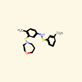 Cc1ccc(NSc2cccc(C(=O)O)c2)cc1SN1CCCOCC1